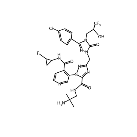 CC(C)(N)CNC(=O)c1nc(Cn2nc(-c3ccc(Cl)cc3)n(C[C@H](O)C(F)(F)F)c2=O)nn1-c1cnccc1C(=O)NC1CC1F